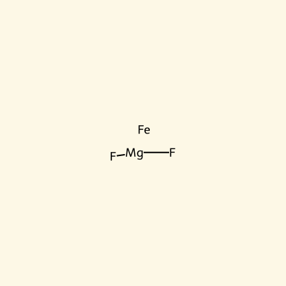 [F][Mg][F].[Fe]